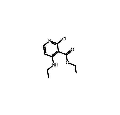 CCNc1ccnc(Cl)c1C(=O)OCC